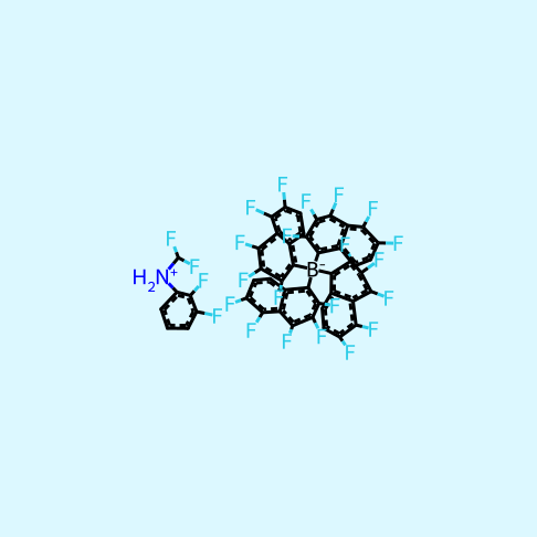 Fc1ccc2c([B-](c3c(F)c(F)c(F)c4c(F)c(F)ccc34)(c3c(F)c(F)c(F)c4c(F)c(F)ccc34)c3c(F)c(F)c(F)c4c(F)c(F)ccc34)c(F)c(F)c(F)c2c1F.Fc1cccc([NH2+]C(F)F)c1F